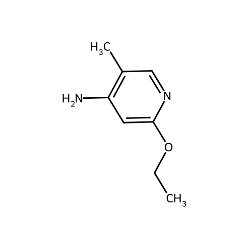 CCOc1cc(N)c(C)cn1